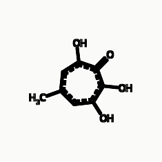 Cc1cc(O)c(O)c(=O)c(O)c1